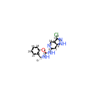 C[C@@H](NC(=O)Nc1cc2[nH]nc(Cl)c2cn1)c1ccccc1